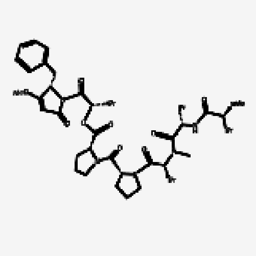 CN[C@H](C(=O)N[C@H](C(=O)N(C)[C@H](C(=O)N1CCC[C@H]1C(=O)N1CCC[C@H]1C(=O)O[C@H](C(=O)N1C(=O)C=C(OC)[C@@H]1Cc1ccccc1)C(C)C)C(C)C)C(C)C)C(C)C